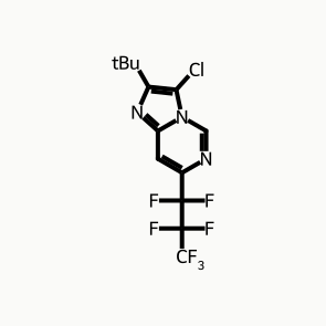 CC(C)(C)c1nc2cc(C(F)(F)C(F)(F)C(F)(F)F)ncn2c1Cl